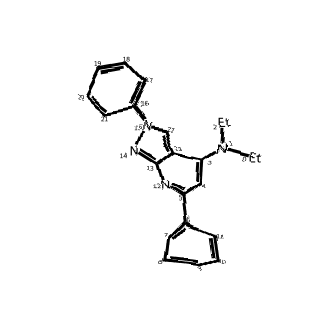 CCN(CC)c1cc(-c2ccccc2)nc2nn(-c3ccccc3)cc12